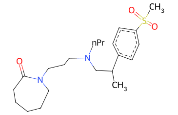 CCCN(CCCN1CCCCCC1=O)CC(C)c1ccc(S(C)(=O)=O)cc1